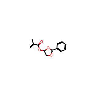 C=C(C)C(=O)OC1COB(c2ccccc2)O1